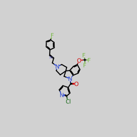 O=C(c1ccnc(Cl)c1)N1CC2(CCN(C/C=C/c3ccc(F)cc3)CC2)c2cc(OC(F)(F)F)ccc21